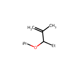 C=C(C)C(CC)OC(C)C